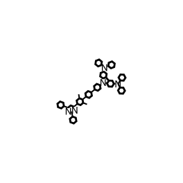 Cc1cc(-c2cc(-c3ccccc3)nc(-c3ccccc3)n2)cc(C)c1-c1ccc(-c2ccc(-n3c4ccc(N(c5ccccc5)c5ccccc5)cc4c4cc(N(c5ccccc5)c5ccccc5)ccc43)cc2)cc1